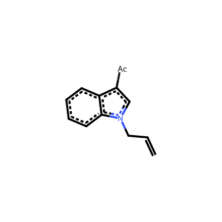 C=CCn1cc(C(C)=O)c2ccccc21